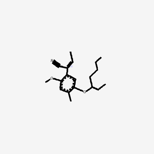 C/C=C(\C#N)c1cc(OC(CC)CCCC)c(C)cc1OC